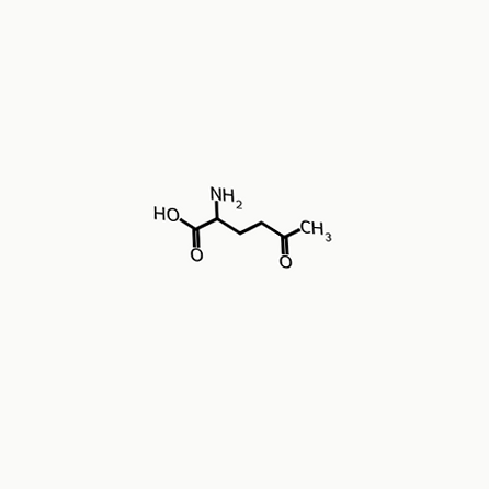 CC(=O)CCC(N)C(=O)O